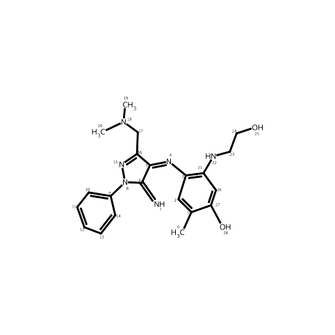 Cc1cc(N=C2C(=N)N(c3ccccc3)N=C2CN(C)C)c(NCCO)cc1O